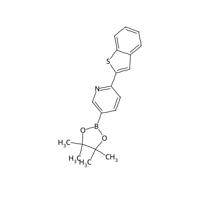 CC1(C)OB(c2ccc(-c3cc4ccccc4s3)nc2)OC1(C)C